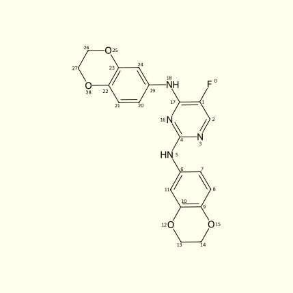 Fc1cnc(Nc2ccc3c(c2)OCCO3)nc1Nc1ccc2c(c1)OCCO2